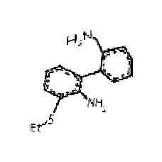 CCSc1cccc(-c2ccccc2N)c1N